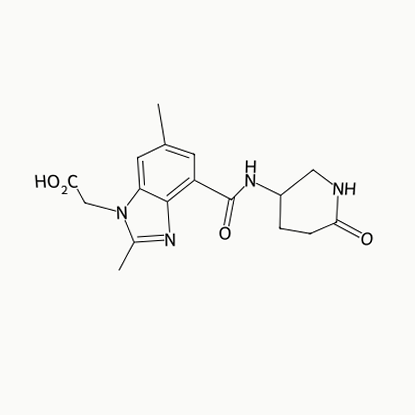 Cc1cc(C(=O)NC2CCC(=O)NC2)c2nc(C)n(CC(=O)O)c2c1